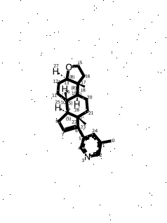 Cc1cncc(C2=CC[C@H]3[C@@H]4CC[C@H]5OCC[C@]5(C)[C@H]4CC[C@]23C)c1